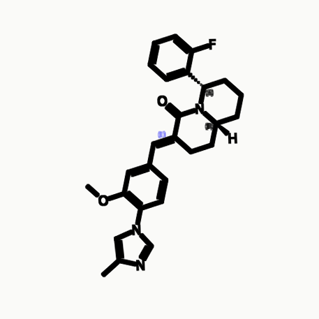 COc1cc(/C=C2\CC[C@H]3CCC[C@@H](c4ccccc4F)N3C2=O)ccc1-n1cnc(C)c1